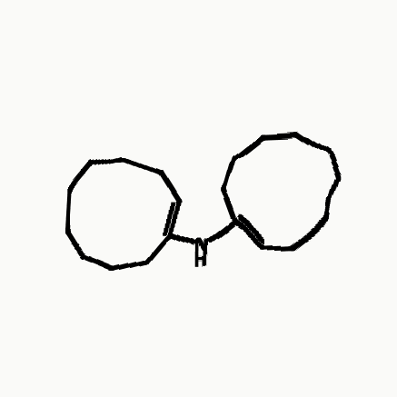 C1=C(NC2=CCCCCCCCC2)CCCCCCCC1